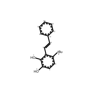 CC(C)(C)c1ccc(O)c(O)c1C=Cc1ccccc1